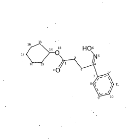 O=C(CC/C(=N\O)c1ccccc1)OC1CCCCC1